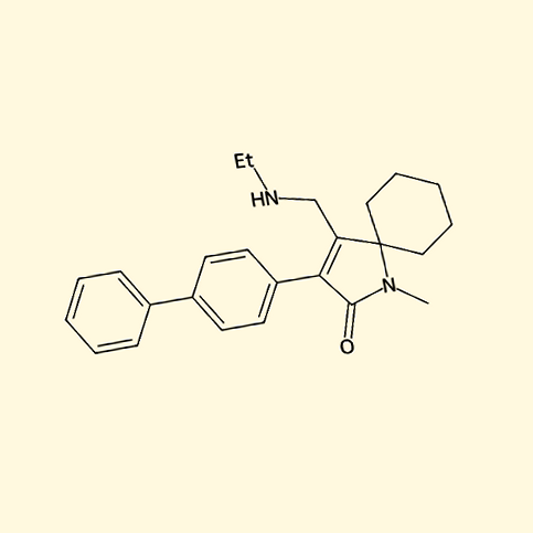 CCNCC1=C(c2ccc(-c3ccccc3)cc2)C(=O)N(C)C12CCCCC2